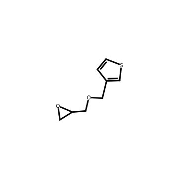 c1cc(COCC2CO2)cs1